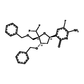 Nc1nc(=O)n([C@H]2C[C@H](OCc3ccccc3)[C@](COCc3ccccc3)(C(F)F)O2)cc1F